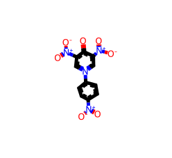 O=c1c([N+](=O)[O-])cn(-c2ccc([N+](=O)[O-])cc2)cc1[N+](=O)[O-]